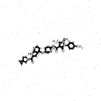 Cc1ccc(-n2c(=O)c(C(=O)Nc3ccc(Oc4ccnc5[nH]c(C(=O)N6CCC7(CC7)C6)cc45)cn3)c(C)n2C)cc1